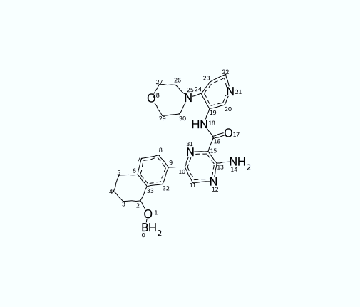 BOC1CCCc2ccc(-c3cnc(N)c(C(=O)Nc4cnccc4N4CCOCC4)n3)cc21